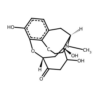 CN1CCCc2c3ccc(O)c2O[C@@H]2C[C@@](O)(C(O)CC2=O)[C@H]1C3